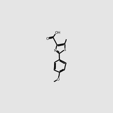 COc1ccc(-c2nc(C(=O)O)c(C)s2)cc1